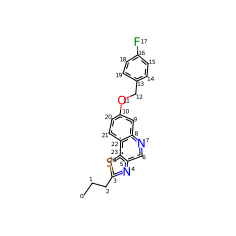 CCCc1nc2cnc3cc(OCc4ccc(F)cc4)ccc3c2s1